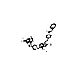 Cc1c(CN2CCC(Nc3ncnc4sc(CC(F)(F)F)cc34)CC2)ccc2c1cc(C#N)n2CCN1CCN(C(=O)CC2CCCCC2)CC1